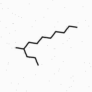 [CH2]C(CCC)CCCCCCCC